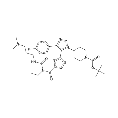 CCN(C(=O)NCCCN(C)C)C(=O)c1csc(-c2c(-c3ccc(F)cc3)ncn2C2CCN(C(=O)OC(C)(C)C)CC2)n1